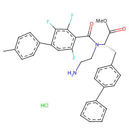 COC(=O)[C@H](Cc1ccc(-c2ccccc2)cc1)N(CCN)C(=O)c1c(F)cc(-c2ccc(C)cc2)c(F)c1F.Cl